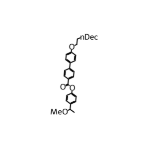 CCCCCCCCCCCCOc1ccc(-c2ccc(C(=O)Oc3ccc(C(C)OC)cc3)cc2)cc1